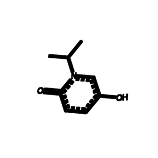 CC(C)n1cc(O)ccc1=O